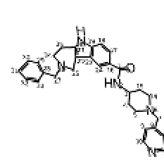 O=C(NC1CCN(Cc2ccncc2)CC1)c1ccc2[nH]c3c(c2c1)CN(Cc1ccccc1)CC3